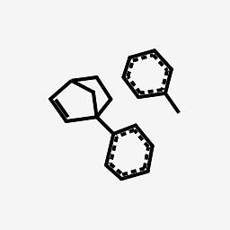 C1=CC2(c3ccccc3)CCC1C2.Cc1ccccc1